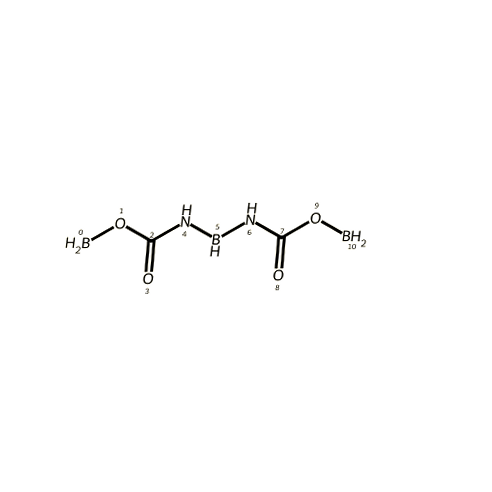 BOC(=O)NBNC(=O)OB